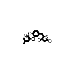 Cc1cnc(Oc2ccc(CC3SC(=O)CC3=O)cc2)c(Cl)c1